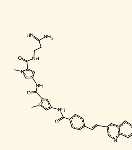 Cn1cc(NC(=O)c2cc(NC(=O)c3ccc(/C=C/c4cnc5ccccc5c4)cc3)cn2C)cc1C(=O)NCCC(=N)N